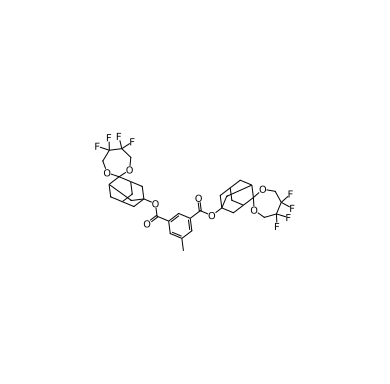 Cc1cc(C(=O)OC23CC4CC(C2)C2(OCC(F)(F)C(F)(F)CO2)C(C4)C3)cc(C(=O)OC23CC4CC(C2)C2(OCC(F)(F)C(F)(F)CO2)C(C4)C3)c1